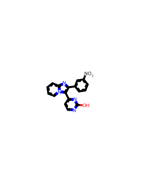 O=[N+]([O-])c1cccc(-c2nc3ccccn3c2-c2ccnc(O)n2)c1